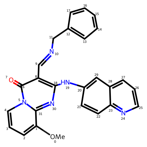 COc1cccn2c(=O)c(/C=N/Cc3ccccc3)c(Nc3ccc4ncccc4c3)nc12